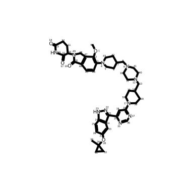 COc1c(N2CCC(CN3CCN(CC4CCN(c5cc(-c6n[nH]c7ccc(OC8(C)CC8)cc67)ncn5)CC4)CC3)CC2)ccc2c1CN(C1CCC(=O)NC1=O)C2=O